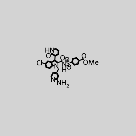 COC(=O)c1ccc(S(=O)(=O)NC(=O)c2c(-c3ccc[nH]c3=O)c3cc(Cl)ccc3n2Cc2ccnc(N)c2)cc1